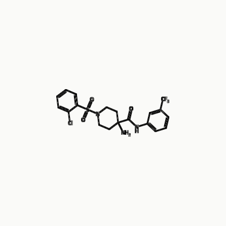 NC1(C(=O)Nc2cccc(C(F)(F)F)c2)CCN(S(=O)(=O)c2ccccc2Cl)CC1